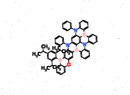 CC(C)c1cc(C(C)C)c(B2c3ccccc3Oc3cc4c(cc32)N(c2ccccc2)c2cc3c5c6c2B4c2ccccc2N6c2ccccc2B5c2ccccc2N3c2ccccc2)c(C(C)C)c1